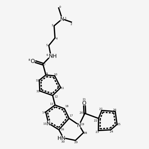 CN(C)CCCNC(=O)c1ccc(-c2cnc3c(c2)N(C(=O)c2ccccc2)CCN3)cc1